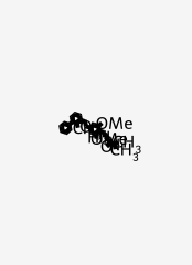 COc1cc(OCc2cccc(-c3ccccc3)c2C)cc(OC)c1CNCC(=O)N(C)C